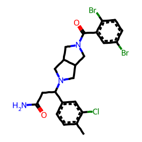 Cc1ccc(C(CC(N)=O)N2CC3CN(C(=O)c4cc(Br)ccc4Br)CC3C2)cc1Cl